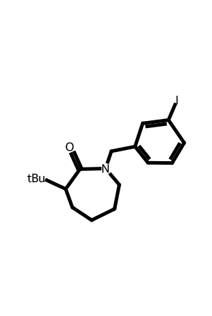 CC(C)(C)C1CCCCN(Cc2cccc(I)c2)C1=O